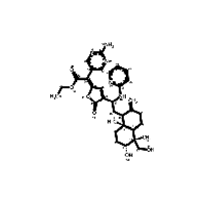 C=C1CCC2[C@](C)(CC[C@@H](O)[C@@]2(C)CO)C1CC(Nc1ccccn1)C1=C/C(=C(/C(=O)OCC)c2cnc(N)nc2)OC1=O